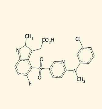 CC1N=c2ccc(F)c(S(=O)(=O)c3ccc(N(C)c4cccc(Cl)c4)nc3)c2=C1CC(=O)O